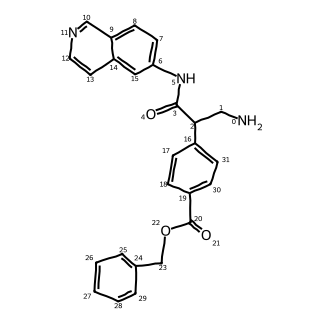 NCC(C(=O)Nc1ccc2cnccc2c1)c1ccc(C(=O)OCc2ccccc2)cc1